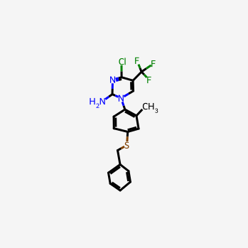 Cc1cc(SCc2ccccc2)ccc1N1C=C(C(F)(F)F)C(Cl)=NC1N